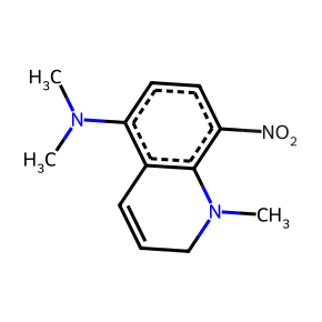 CN(C)c1ccc([N+](=O)[O-])c2c1C=CCN2C